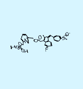 CC1=C(CC(=O)OCc2cccc(CON(O)O)n2)c2cc(F)ccc2/C1=C\c1ccc([S+](C)[O-])cc1